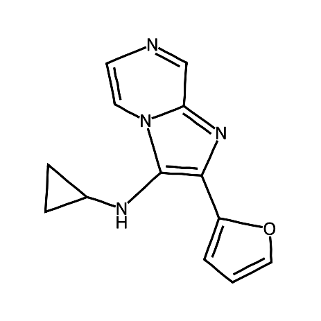 c1coc(-c2nc3cnccn3c2NC2CC2)c1